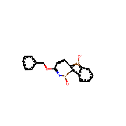 [O-][S+]1N=C(OCc2ccccc2)C=Cc2c1c1ccccc1[s+]2[O-]